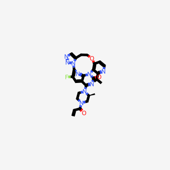 C=CC(=O)N1CCN(c2nc(=O)n3c4nc(c(F)cc24)-n2nncc2CCOc2ccnc(C(C)C)c2-3)[C@@H](C)C1